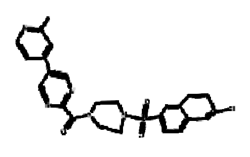 Cc1cc(-c2cnc(C(=O)N3CCN(S(=O)(=O)c4ccc5cc(Cl)ccc5c4)CC3)nc2)ccn1